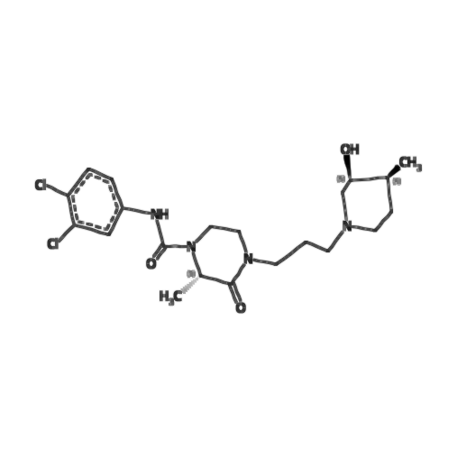 C[C@H]1CCN(CCCN2CCN(C(=O)Nc3ccc(Cl)c(Cl)c3)[C@@H](C)C2=O)C[C@H]1O